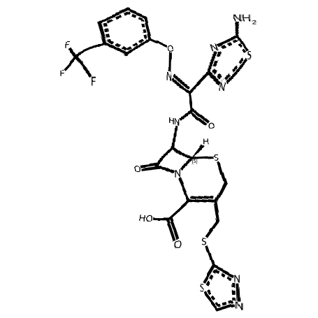 Nc1nc(C(=NOc2cccc(C(F)(F)F)c2)C(=O)NC2C(=O)N3C(C(=O)O)=C(CSc4nncs4)CS[C@@H]23)ns1